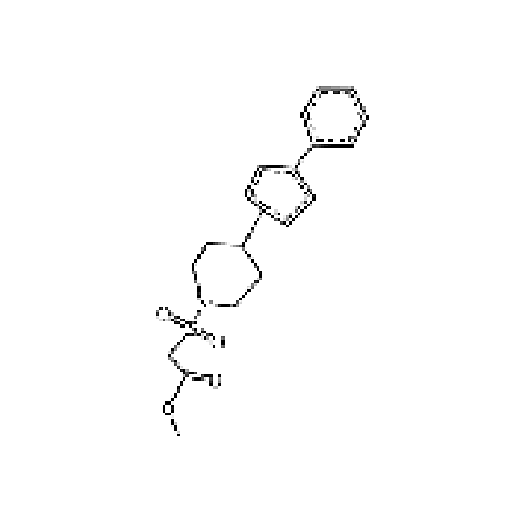 COC(=O)CS(=O)(=O)N1CCC(c2ccc(-c3ccccc3)cc2)CC1